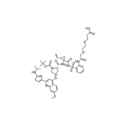 C=CC1CC1(NC(=O)[C@@H]1C[C@@H](Oc2cc(-c3csc(NC(C)C)n3)nc3cc(OC)ccc23)CN1C(=O)OC(C)(C)C)C(=O)NS(=O)(=O)c1ccccc1NC(=O)COCCOCCC(=O)O